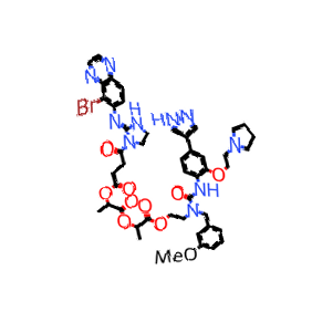 COc1cccc(CN(CCOC(=O)C(C)OC(=O)C(C)OC(=O)CCC(=O)N2CCN/C2=N\c2ccc3nccnc3c2Br)C(=O)Nc2ccc(-c3cn[nH]c3)cc2OCCN2CCCC2)c1